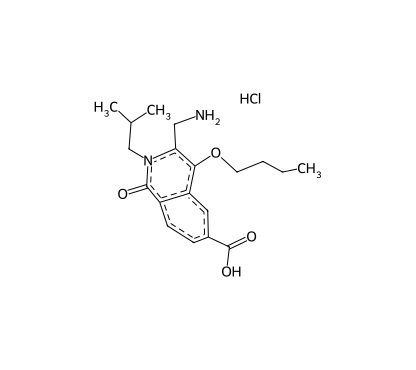 CCCCOc1c(CN)n(CC(C)C)c(=O)c2ccc(C(=O)O)cc12.Cl